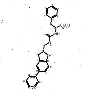 O=C(NC(Cc1ccccc1)C(=O)O)OCC1Cc2cc(-c3ccccc3)ccc2O1